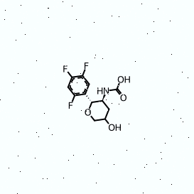 O=C(O)N[C@H]1CC(O)CO[C@@H]1c1cc(F)c(F)cc1F